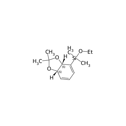 CCO[Si](C)(C)C1=CC=C[C@@H]2OC(C)(C)O[C@H]12